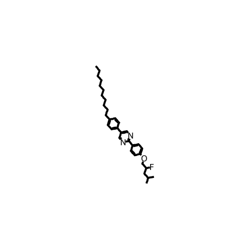 CCCCCCCCCCCc1ccc(-c2cnc(-c3ccc(OCC(F)CC(C)C)cc3)nc2)cc1